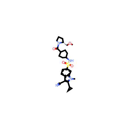 COC[C@H]1CCCN1C(=O)C1CCC(NS(=O)(=O)c2ccc3c(C#N)c(C4CC4)n(C)c3c2)CC1